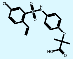 C=Cc1ccc(Cl)cc1S(=O)(=O)Nc1ccc(OC(C)(C)C(=O)O)cc1